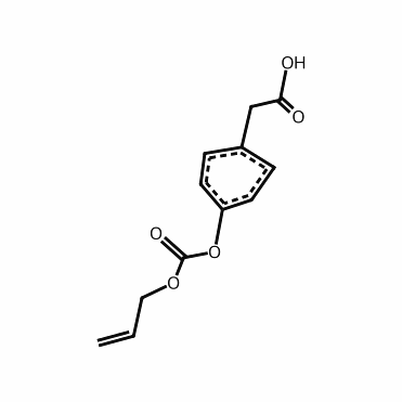 C=CCOC(=O)Oc1ccc(CC(=O)O)cc1